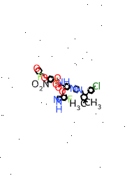 CC1(C)CCC(CN2CCN(c3ccc(C(=O)NS(=O)(=O)c4ccc(OCC5(F)CCOCC5)c([N+](=O)[O-])c4)c(Oc4cc(F)cc5[nH]ncc45)c3)CC2)=C(c2ccc(Cl)cc2)C1